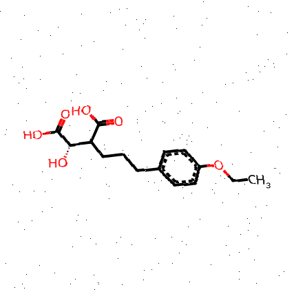 CCOc1ccc(CCCC(C(=O)O)[C@H](O)C(=O)O)cc1